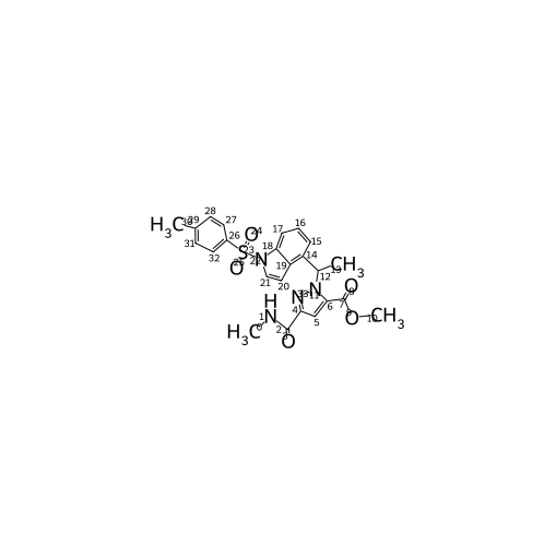 CNC(=O)c1cc(C(=O)OC)n(C(C)c2cccc3c2ccn3S(=O)(=O)c2ccc(C)cc2)n1